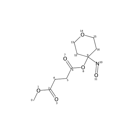 COC(=O)CCC(=O)OC1(N=O)CCOCC1